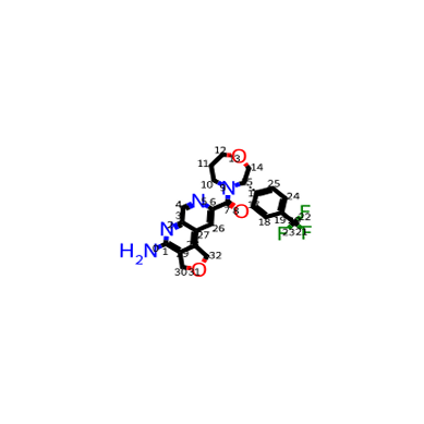 Nc1nc2cnc(C(=O)N3CCCOC[C@@H]3c3ccc(C(F)(F)F)cc3)cc2c2c1COC2